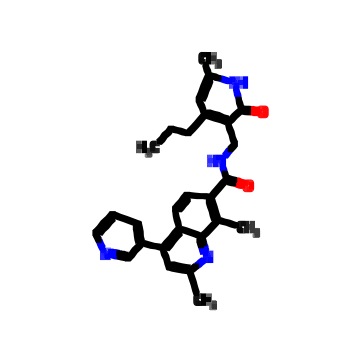 CCCc1cc(C)[nH]c(=O)c1CNC(=O)c1ccc2c(-c3cccnc3)cc(C)nc2c1C